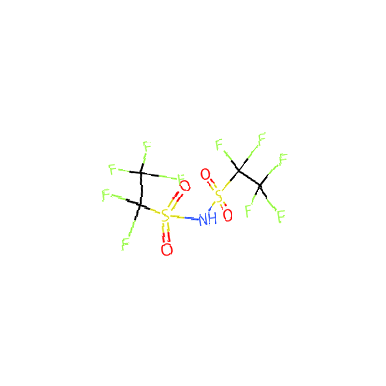 O=S(=O)(NS(=O)(=O)C(F)(F)C(F)(F)F)C(F)(F)C(F)(F)F